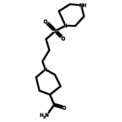 NC(=O)C1CCN(CCCS(=O)(=O)N2CCNCC2)CC1